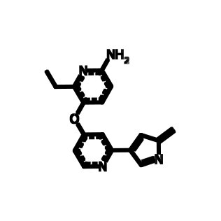 C=C1C=C(c2cc(Oc3ccc(N)nc3CC)ccn2)C=N1